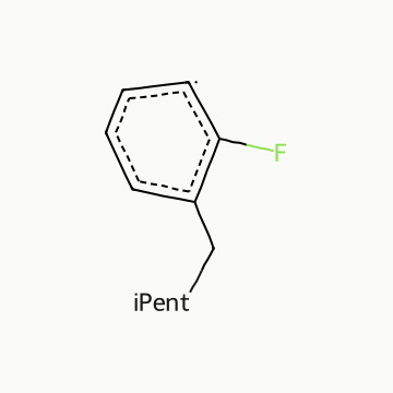 CCCC(C)Cc1ccc[c]c1F